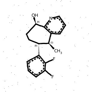 C[C@@H]1c2cccnc2[C@H](O)CC[C@H]1c1cccc(F)c1F